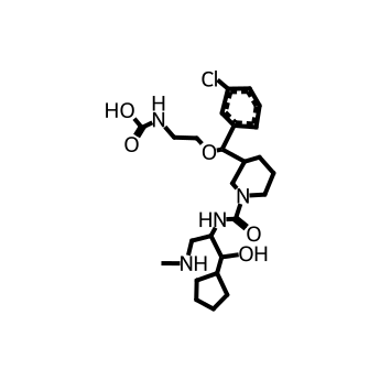 CNCC(NC(=O)N1CCCC(C(OCCNC(=O)O)c2cccc(Cl)c2)C1)C(O)C1CCCC1